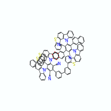 N#Cc1c(-c2cccc(-c3cccc(-c4cccc5c4sc4ccc6c7ccccc7n(-c7c(C#N)c(-c8ccc9ccccc9c8)c(C#N)c(-n8c9ccccc9c9ccc%10sc%11ccccc%11c%10c98)c7-c7ccc8ccccc8c7)c6c45)c3)c2)c(C#N)c(-n2c3ccccc3c3ccc4sc5ccccc5c4c32)c(-c2cccc(-c3ccccc3)c2)c1-n1c2ccccc2c2ccc3sc4ccccc4c3c21